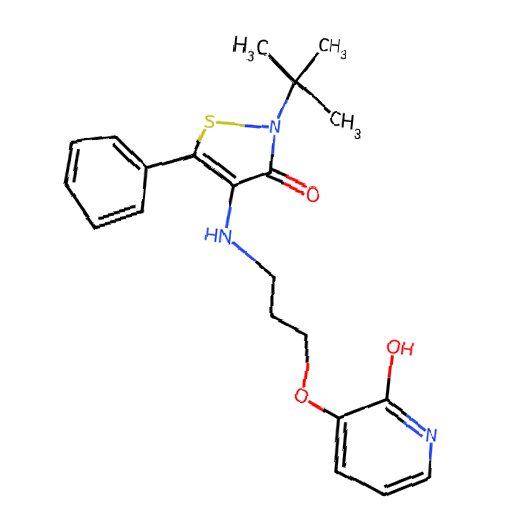 CC(C)(C)n1sc(-c2ccccc2)c(NCCCOc2cccnc2O)c1=O